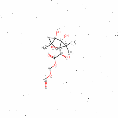 CC1(C)C[C@@]1(O)[C@@]1(O)C(C)(C)[C@@]1(O)[C@@H](O)C(=O)OCO[C]=O